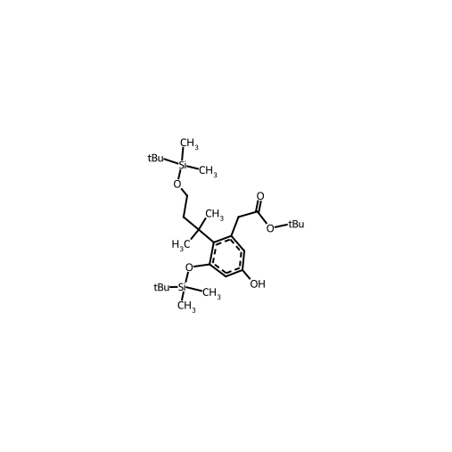 CC(C)(C)OC(=O)Cc1cc(O)cc(O[Si](C)(C)C(C)(C)C)c1C(C)(C)CCO[Si](C)(C)C(C)(C)C